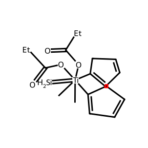 CCC(=O)[O][Ti]([CH3])([CH3])(=[SiH2])([O]C(=O)CC)([C]1=CC=CC1)[C]1=CC=CC1